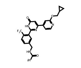 CC(C)C(=O)NCc1ccc(C(F)(F)F)c(-c2nc(-c3ccnc(OCC4CC4)c3)cc(=O)[nH]2)c1